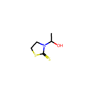 CC(O)N1CCSC1=S